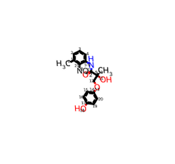 Cc1cccc(NC(=O)C(C)(O)COc2ccc(O)cc2)c1[N+](=O)[O-]